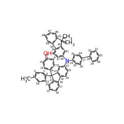 Cc1ccc(C2(c3ccc(O)cc3)c3ccccc3-c3ccc(N(c4ccc(-c5ccccc5)cc4)c4ccc5c(c4)C(C)(C)c4ccccc4-5)cc32)cc1